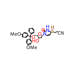 COc1ccc(C(OC[C@H]2O[C@@H](n3ccc(=[SH]CCC#N)[nH]c3=O)C[C@@H]2O)(c2ccccc2)c2ccc(OC)cc2)cc1